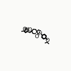 Cc1cc(C[C@]2(O)CC[C@]3(CCN(c4ccc(OC(C)C)cc4)C3=O)CC2)no1